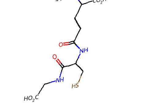 CC(C)NC(CCC(=O)NC(CS)C(=O)NCC(=O)O)C(=O)O